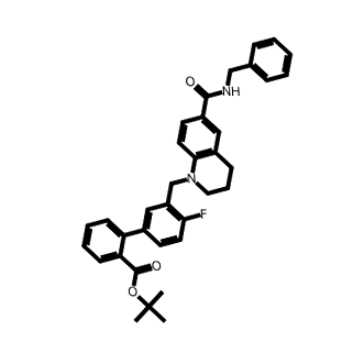 CC(C)(C)OC(=O)c1ccccc1-c1ccc(F)c(CN2CCCc3cc(C(=O)NCc4ccccc4)ccc32)c1